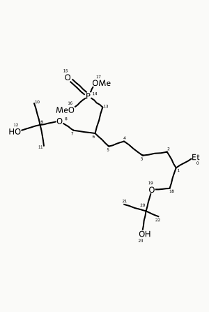 CCC(CCCCC(COC(C)(C)O)CP(=O)(OC)OC)COC(C)(C)O